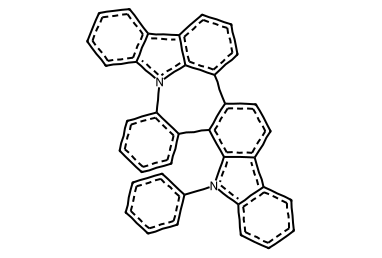 c1ccc(-n2c3ccccc3c3ccc4c(c32)-c2ccccc2-n2c3ccccc3c3cccc-4c32)cc1